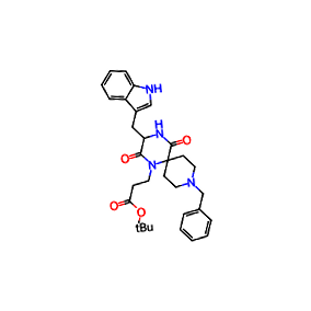 CC(C)(C)OC(=O)CCN1C(=O)C(Cc2c[nH]c3ccccc23)NC(=O)C12CCN(Cc1ccccc1)CC2